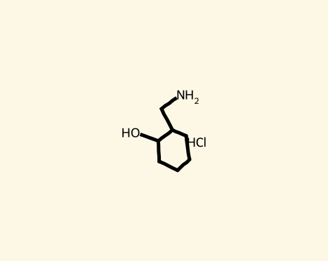 Cl.NCC1CCCCC1O